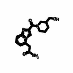 NC(=O)Cc1cccc2nc(C(=O)N3CCCC(CO)C3)cn12